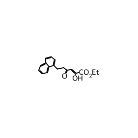 CCOC(=O)/C(O)=C/C(=O)CCc1cccc2ccccc12